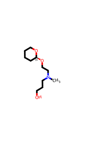 CN(CCCO)CCO[C@H]1CCCCO1